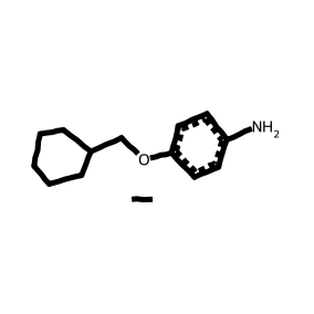 CC.Nc1ccc(OCC2CCCCC2)cc1